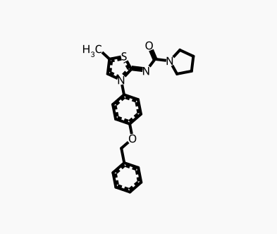 Cc1cn(-c2ccc(OCc3ccccc3)cc2)c(=NC(=O)N2CCCC2)s1